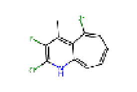 CC1=C2C(Br)=CC=CC=C2NC(Cl)=C1F